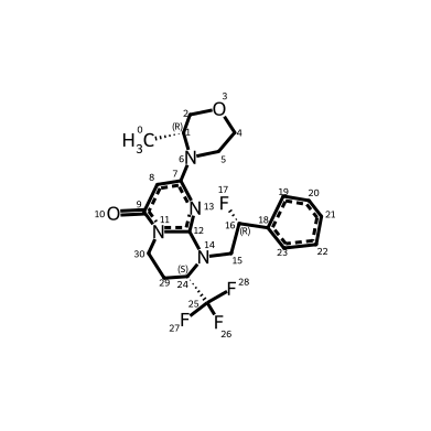 C[C@@H]1COCCN1c1cc(=O)n2c(n1)N(C[C@H](F)c1ccccc1)[C@H](C(F)(F)F)CC2